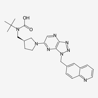 CC(C)(C)N(C[C@@H]1CCN(c2cnc3nnn(Cc4ccc5ncccc5c4)c3n2)C1)C(=O)O